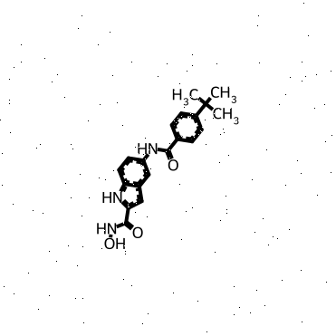 CC(C)(C)c1ccc(C(=O)Nc2ccc3[nH]c(C(=O)NO)cc3c2)cc1